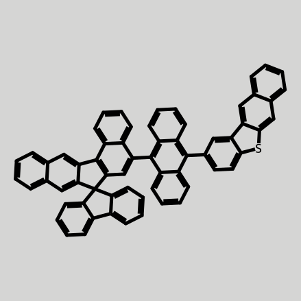 c1ccc2c(c1)-c1ccccc1C21c2cc3ccccc3cc2-c2c1cc(-c1c3ccccc3c(-c3ccc4sc5cc6ccccc6cc5c4c3)c3ccccc13)c1ccccc21